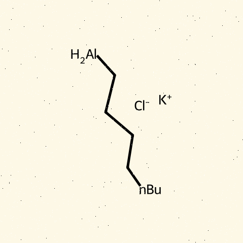 CCCCCCC[CH2][AlH2].[Cl-].[K+]